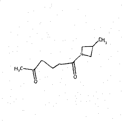 CC(=O)CCCC(=O)N1CC(C)C1